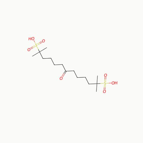 CC(C)(CCCCC(=O)CCCCC(C)(C)S(=O)(=O)O)S(=O)(=O)O